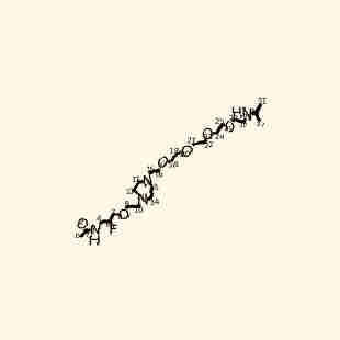 CC(=O)NCC(F)COCCN1CCN(CCOCCOCCOCCOCCNC(C)C)CC1